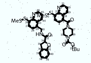 CSSc1ccc(C(=O)N2CCN(C(=O)OC(C)(C)C)CC2)c2cccnc12.CSSc1ccc(CNC(=O)C2Cc3ccccc3O2)c2cccnc12